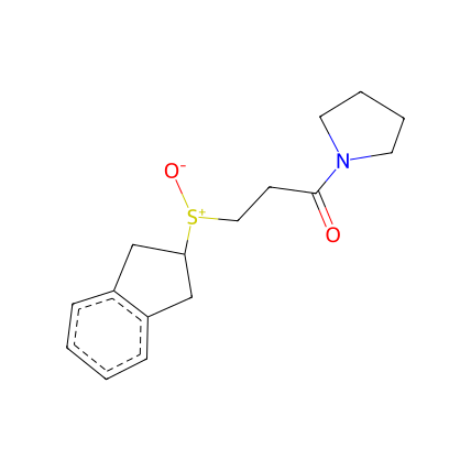 O=C(CC[S+]([O-])C1Cc2ccccc2C1)N1CCCC1